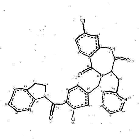 O=C1Nc2cc(Cl)ccc2C(=O)N(Cc2ccc(C(=O)N3CCc4cccnc43)c(Cl)c2)C1Cc1ccccn1